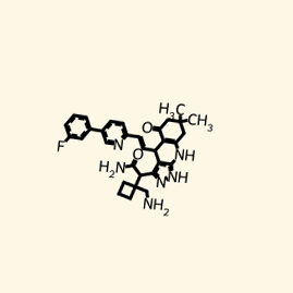 CC1(C)CC(=O)C2=C(C1)Nc1[nH]nc(C(C(N)=O)C3(CN)CCC3)c1C2C=Cc1ccc(-c2cccc(F)c2)cn1